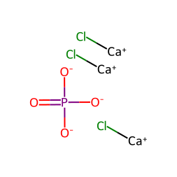 O=P([O-])([O-])[O-].[Cl][Ca+].[Cl][Ca+].[Cl][Ca+]